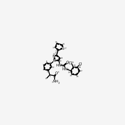 CC(C(N)=O)c1cccc(-n2nc(-c3cccs3)cc2NC(=O)Nc2cccc(Cl)c2Cl)c1